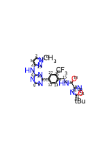 Cn1ccc(Nc2ncnc(-c3ccc(CNC(=O)c4noc(C(C)(C)C)n4)c(C(F)(F)F)c3)n2)n1